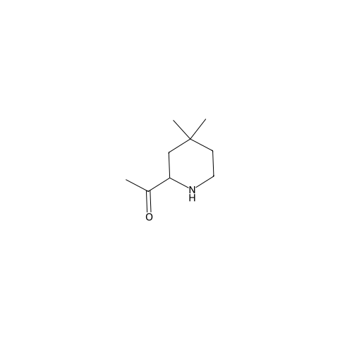 CC(=O)C1CC(C)(C)CCN1